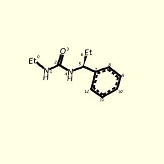 CCNC(=O)N[C@@H](CC)c1ccccc1